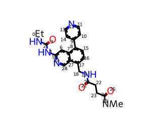 CCNC(=O)Nc1cc2c(-c3ccncc3)ccc(CNC(=O)CCC(=O)NC)c2cn1